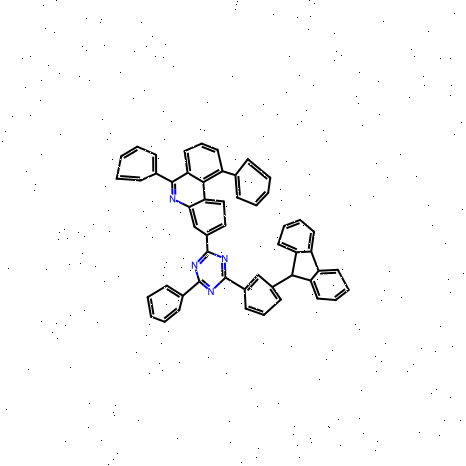 c1ccc(-c2nc(-c3cccc(C4c5ccccc5-c5ccccc54)c3)nc(-c3ccc4c(c3)nc(-c3ccccc3)c3cccc(-c5ccccc5)c34)n2)cc1